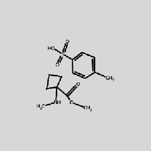 CNC1(C(=O)OC)CCC1.Cc1ccc(S(=O)(=O)O)cc1